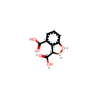 O=C(O)c1cccc2c1C(C(=O)O)SO2